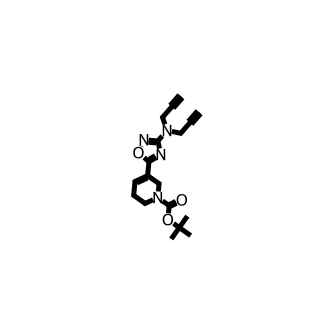 C#CCN(CC#C)c1noc(C2=CCCN(C(=O)OC(C)(C)C)C2)n1